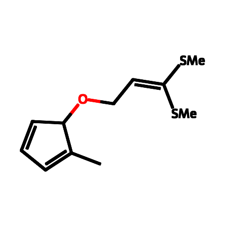 CSC(=CCOC1C=CC=C1C)SC